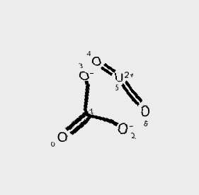 O=C([O-])[O-].[O]=[U+2]=[O]